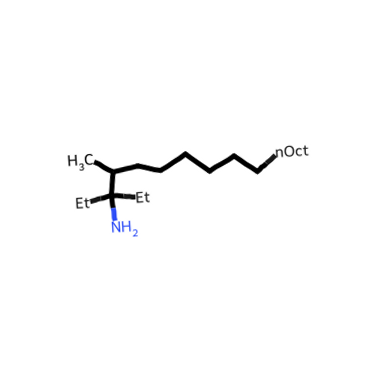 CCCCCCCCCCCCCCC(C)C(N)(CC)CC